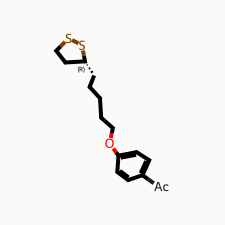 CC(=O)c1ccc(OCCCCC[C@@H]2CCSS2)cc1